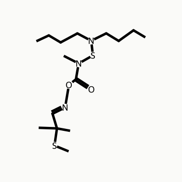 CCCCN(CCCC)SN(C)C(=O)ON=CC(C)(C)SC